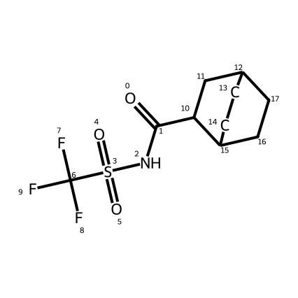 O=C(NS(=O)(=O)C(F)(F)F)C1CC2CCC1CC2